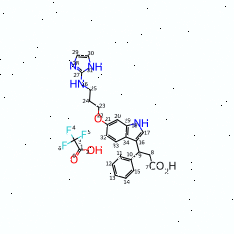 O=C(O)C(F)(F)F.O=C(O)CC(c1ccccc1)c1c[nH]c2cc(OCCCNc3ncc[nH]3)ccc12